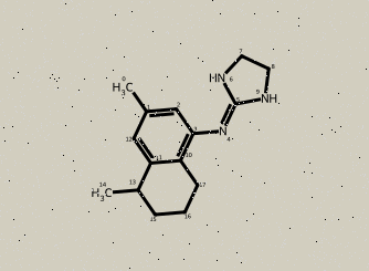 Cc1cc(N=C2NCCN2)c2c(c1)C(C)CCC2